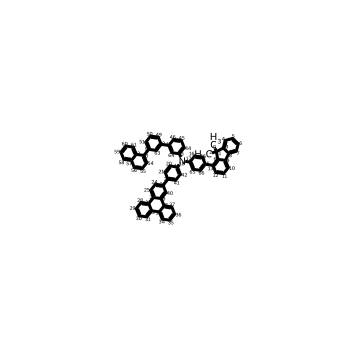 CC1(C)c2ccccc2-c2cccc(-c3ccc(N(c4ccc(-c5ccc6c7ccccc7c7ccccc7c6c5)cc4)c4cccc(-c5cccc(-c6cccc7ccccc67)c5)c4)cc3)c21